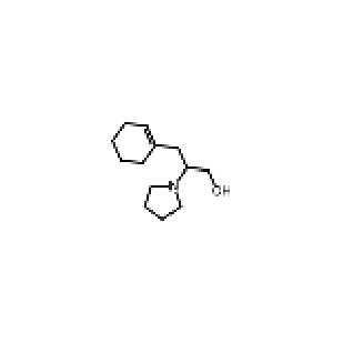 OCC(CC1=CCCCC1)N1CCCC1